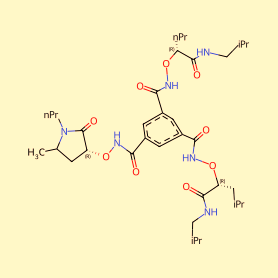 CCC[C@@H](ONC(=O)c1cc(C(=O)NO[C@H](CC(C)C)C(=O)NCC(C)C)cc(C(=O)NO[C@@H]2CC(C)N(CCC)C2=O)c1)C(=O)NCC(C)C